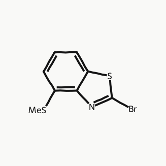 CSc1cccc2sc(Br)nc12